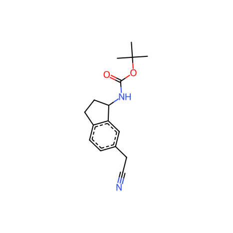 CC(C)(C)OC(=O)NC1CCc2ccc(CC#N)cc21